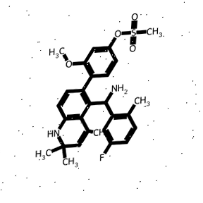 COc1cc(OS(C)(=O)=O)ccc1-c1ccc2c(c1C(N)c1cc(F)ccc1C)C(C)=CC(C)(C)N2